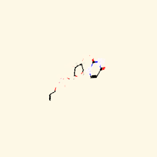 C=CCOP(=O)(O)OC[C@H]1O[C@@H](n2ccc(=O)[nH]c2=O)[C@H](O)[C@@H]1O